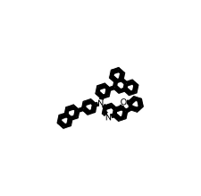 c1cc(-c2cc3ccccc3c3ccccc23)cc(N(c2ccc(-c3ccc4ccccc4c3)cc2)c2cnc3ccc4c5ccccc5oc4c3c2)c1